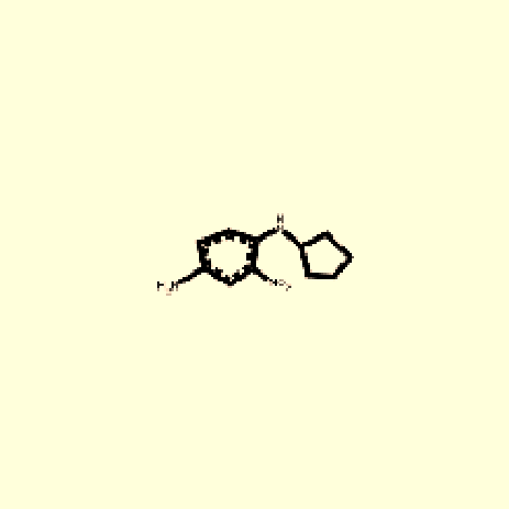 Nc1ccc(NC2CCCC2)c([N+](=O)[O-])c1